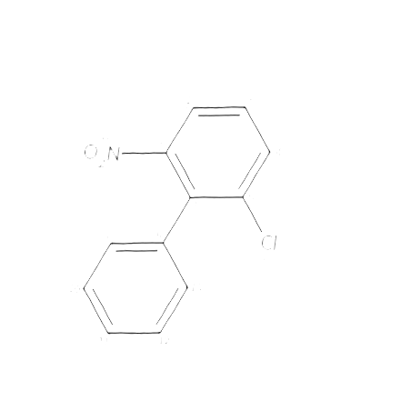 O=[N+]([O-])c1[c]ccc(Cl)c1-c1ccccc1